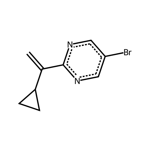 C=C(c1ncc(Br)cn1)C1CC1